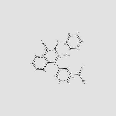 O=c1c2cccnc2n(-c2cccc([N+](=O)[O-])c2)c(=O)n1Cc1cccnc1